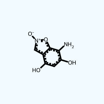 Nc1c(O)cc(O)c2c[n+]([O-])oc12